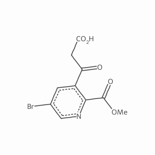 COC(=O)c1ncc(Br)cc1C(=O)CC(=O)O